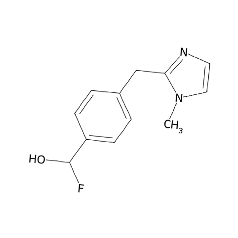 Cn1ccnc1Cc1ccc(C(O)F)cc1